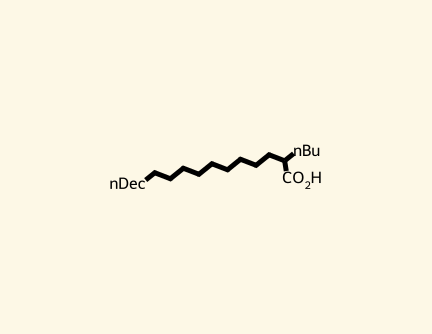 CCCCCCCCCCCCCCCCCCCC(CCCC)C(=O)O